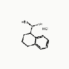 CCCCN(CCC)C1CCCc2ccccc21.Cl